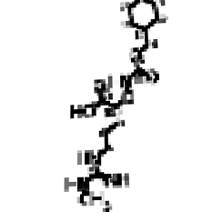 CNC(=N)NCCC[C@@H](ONC(=O)OCC1CCCCC1)C(=O)O